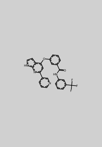 O=C(Nc1cccc(C(F)(F)F)c1)c1cccc(Oc2cc(-c3cccnc3)nc3[nH]ccc23)c1